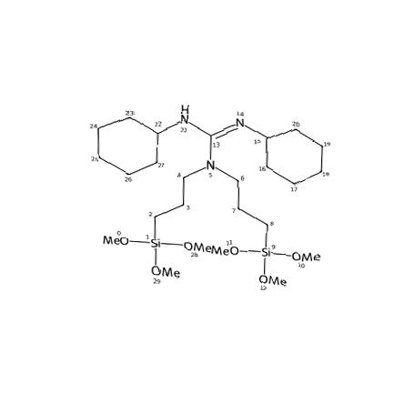 CO[Si](CCCN(CCC[Si](OC)(OC)OC)/C(=N\C1CCCCC1)NC1CCCCC1)(OC)OC